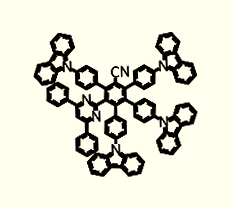 N#Cc1c(-c2ccc(-n3c4ccccc4c4ccccc43)cc2)c(-c2ccc(-n3c4ccccc4c4ccccc43)cc2)c(-c2ccc(-n3c4ccccc4c4ccccc43)cc2)c(-c2nc(-c3ccccc3)cc(-c3ccccc3)n2)c1-c1ccc(-n2c3ccccc3c3ccccc32)cc1